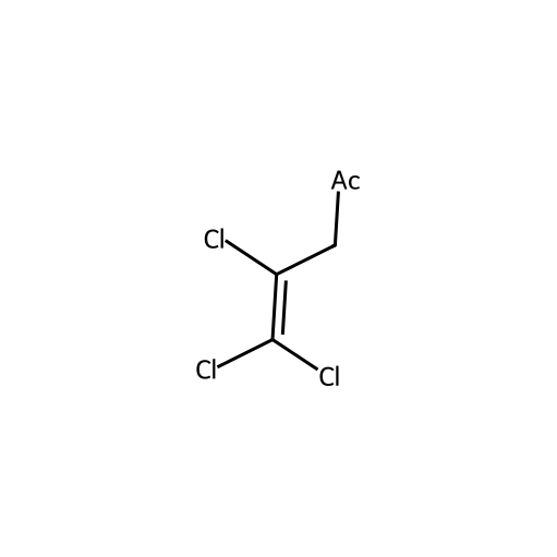 CC(=O)CC(Cl)=C(Cl)Cl